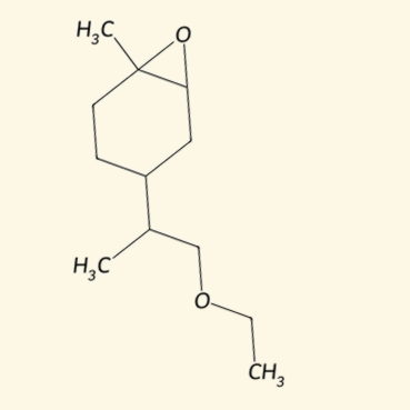 CCOCC(C)C1CCC2(C)OC2C1